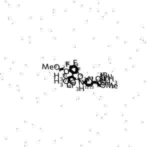 COCCOc1c([C@H]2[C@H](C(=O)Nc3ccc(C(COC)O[Si](C)(C)C(C)(C)C)nc3)O[C@@](C)(C(F)(F)F)[C@H]2C)ccc(F)c1F